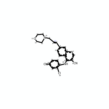 N#Cc1cnc2cc(/C=C/CN3CCOCC3)ccc2c1Nc1ccc(Cl)cc1Cl